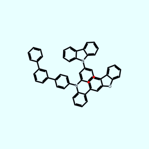 c1ccc(-c2cccc(-c3ccc(N(c4cccc(-n5c6ccccc6c6ccccc65)c4)c4ccccc4-c4ccc5c(c4)oc4ccccc45)cc3)c2)cc1